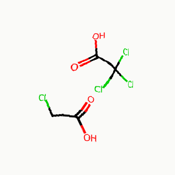 O=C(O)C(Cl)(Cl)Cl.O=C(O)CCl